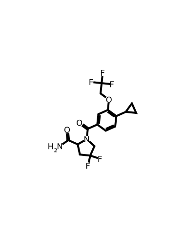 NC(=O)C1CC(F)(F)CN1C(=O)c1ccc(C2CC2)c(OCC(F)(F)F)c1